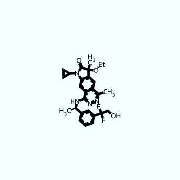 CCOC1(C)C(=O)N(C2CC2)c2cc3c(N[C@H](C)c4cccc(C(F)(F)CO)c4)nnc(C)c3cc21